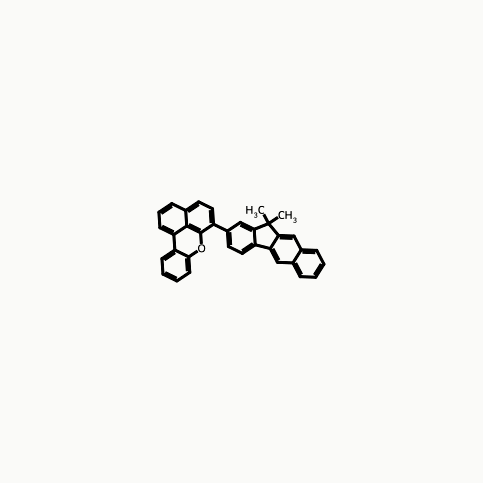 CC1(C)c2cc(-c3ccc4cccc5c4c3Oc3ccccc3-5)ccc2-c2cc3ccccc3cc21